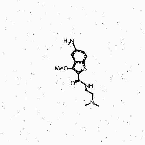 COc1c(C(=O)NCCN(C)C)sc2ccc(N)cc12